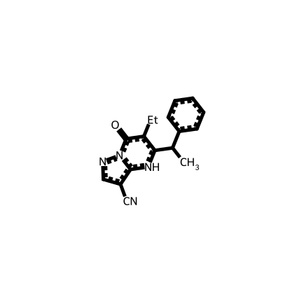 CCc1c(C(C)c2ccccc2)[nH]c2c(C#N)cnn2c1=O